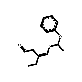 CCC(=COC(C)Oc1ccccc1)CC=O